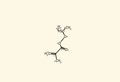 C=C(C)C(=O)OO[SiH](C)C